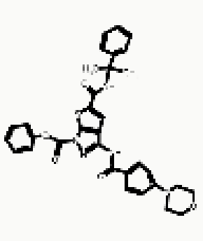 CC(C)(NC(=O)c1cc2c(NC(=O)c3ccc(N4CCOCC4)cc3)nn(C(=O)Oc3ccccc3)c2s1)c1ccccc1